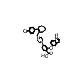 O=C(O)c1ccc(N2CCN(CC3=C(c4ccc(Cl)cc4)CCCCC3)CC2)cc1Oc1ccc2[nH]ccc2c1